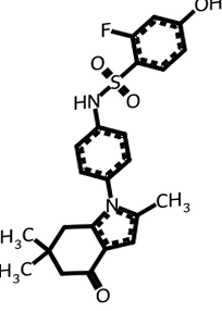 Cc1cc2c(n1-c1ccc(NS(=O)(=O)c3ccc(O)cc3F)cc1)CC(C)(C)CC2=O